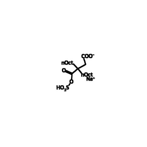 CCCCCCCCC(CCCCCCCC)(CC(=O)[O-])C(=O)OS(=O)(=O)O.[Na+]